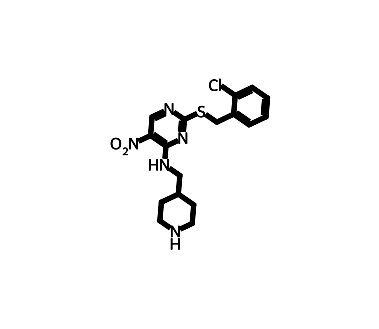 O=[N+]([O-])c1cnc(SCc2ccccc2Cl)nc1NCC1CCNCC1